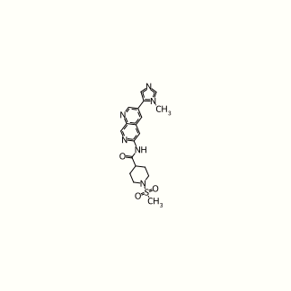 Cn1cncc1-c1cnc2cnc(NC(=O)C3CCN(S(C)(=O)=O)CC3)cc2c1